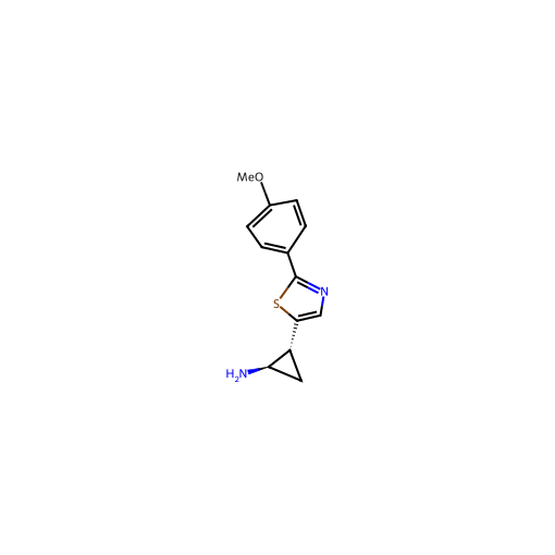 COc1ccc(-c2ncc([C@@H]3C[C@H]3N)s2)cc1